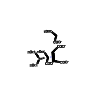 CCCCCCCCCCCC(=O)[O-].CCCCCCCCCCCC(=O)[O-].CCCCCCC[CH2][Sn+4][CH2]CCCCCCC.O=C([O-])/C=C\C(=O)[O-]